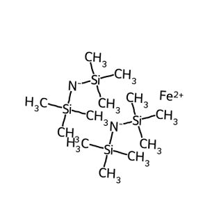 C[Si](C)(C)[N-][Si](C)(C)C.C[Si](C)(C)[N-][Si](C)(C)C.[Fe+2]